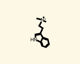 C[N+](C)(C)CCc1c[nH]c2ccccc12